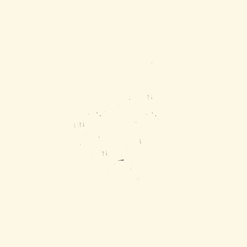 C[SiH](C)OC([C@H]1CCCN1c1sc(-c2ccc3c(c2)ncn3C2CCCCC2)c2nc[nH]c(=O)c12)C(C)(C)C